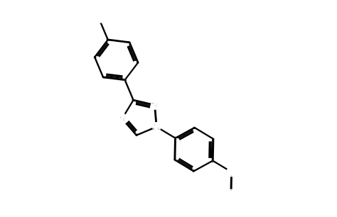 FC(F)(F)Oc1ccc(-n2cnc(-c3ccc(I)cc3)n2)cc1